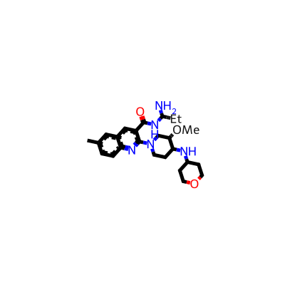 CCC(N)NC(=O)c1cc2cc(C)ccc2nc1N1CCC(NC2CCOCC2)C(OC)C1